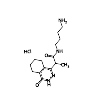 CC(C(=O)NCCCCN)c1n[nH]c(=O)c2c1CCCC2.Cl